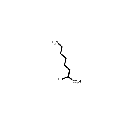 NCCCCCC(O)C(=O)O